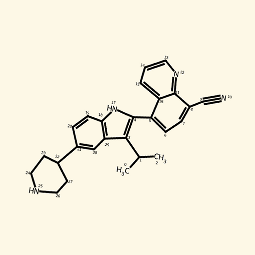 CC(C)c1c(-c2ccc(C#N)c3ncccc23)[nH]c2ccc(C3CCNCC3)cc12